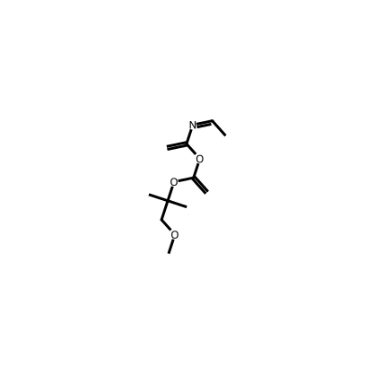 C=C(/N=C\C)OC(=C)OC(C)(C)COC